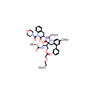 CCCCCC(=O)NC(Cc1ccc(OC)cc1-c1ccccc1)(C(=O)NC(Cc1ccccc1)C(=O)NC(=O)N1CCOCC1)C(CNC(=O)OC(C)(C)C)COC(=O)COCCOC